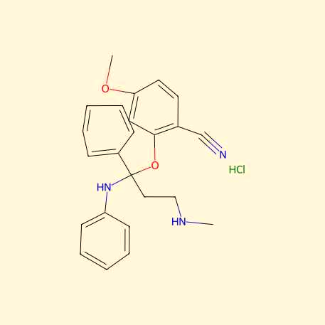 CNCCC(Nc1ccccc1)(Oc1cc(OC)ccc1C#N)c1ccccc1.Cl